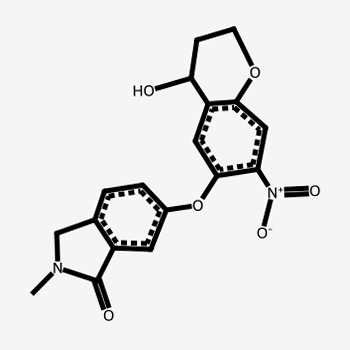 CN1Cc2ccc(Oc3cc4c(cc3[N+](=O)[O-])OCCC4O)cc2C1=O